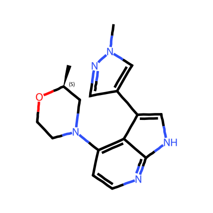 C[C@H]1CN(c2ccnc3[nH]cc(-c4cnn(C)c4)c23)CCO1